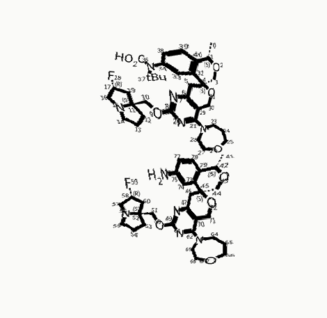 C[C@@H]1OC[C@]2(Cc3nc(OC[C@@]45CCCN4C[C@H](F)C5)nc(N4CCCOCC4)c3CO2)c2cc(N(C(=O)O)C(C)(C)C)ccc21.C[C@@H]1OC[C@]2(Cc3nc(OC[C@@]45CCCN4C[C@H](F)C5)nc(N4CCCOCC4)c3CO2)c2cc(N)ccc21